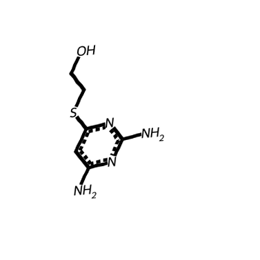 Nc1cc(SCCO)nc(N)n1